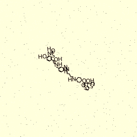 O=C(O[C@H]1CC[C@H](NCCCCn2nnc3cc(CNC[C@H](O)c4ccc(O)c5[nH]c(=O)sc45)ccc32)CC1)C(O)(c1cccs1)c1cccs1